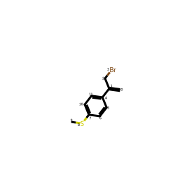 C=C(CBr)c1ccc(SC)cc1